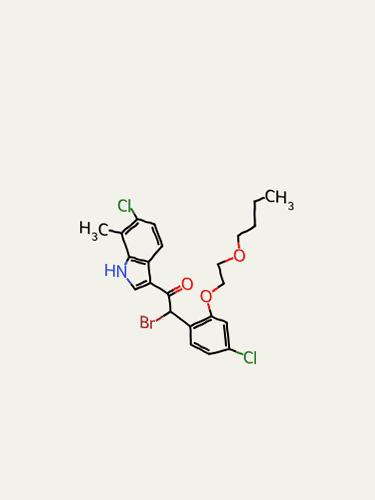 CCCCOCCOc1cc(Cl)ccc1C(Br)C(=O)c1c[nH]c2c(C)c(Cl)ccc12